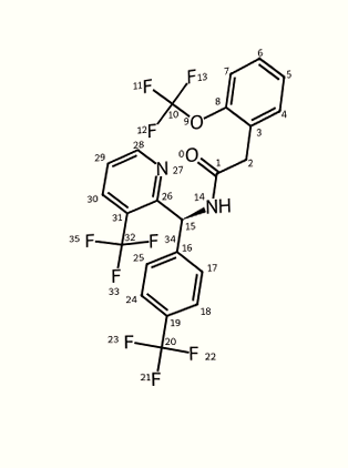 O=C(Cc1ccccc1OC(F)(F)F)N[C@@H](c1ccc(C(F)(F)F)cc1)c1ncccc1C(F)(F)F